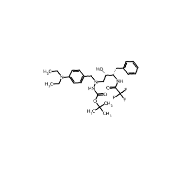 CCN(CC)c1ccc(CN(C[C@H](O)[C@H](Cc2ccccc2)NC(=O)C(F)(F)F)NC(=O)OC(C)(C)C)cc1